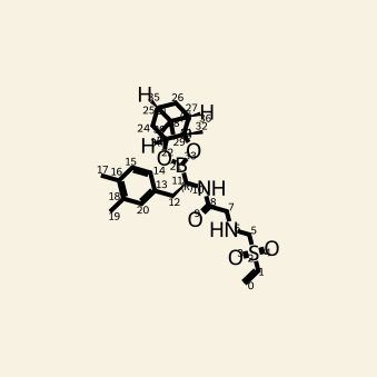 C=CS(=O)(=O)CNCC(=O)N[C@@H](Cc1ccc(C)c(C)c1)B1O[C@@H]2C[C@@H]3C[C@@H](C3(C)C)[C@]2(C)O1